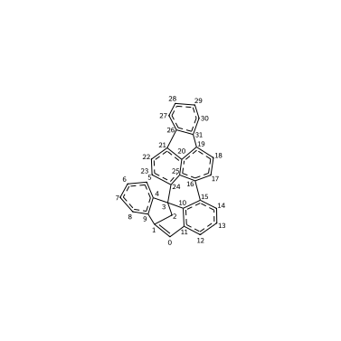 C1=C2CC3(c4ccccc42)c2c1cccc2-c1ccc2c4c(ccc3c14)-c1ccccc1-2